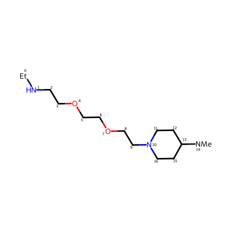 CCNCCOCCOCCN1CCC(NC)CC1